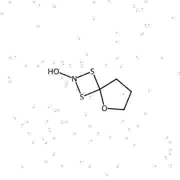 ON1SC2(CCCO2)S1